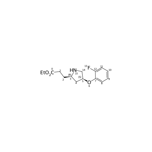 CCOC(=O)CC[C@@H]1C[C@H](Oc2ccccc2F)CN1